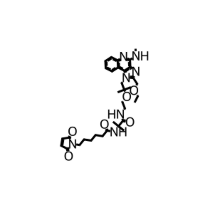 CCOCc1nc2c(NC)nc3ccccc3c2n1CC(C)(C)OCCNC(=O)C(C)(C)NC(=O)CCCCCN1C(=O)C=CC1=O